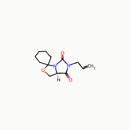 C=CCN1C(=O)[C@H]2COC3(CCCCC3)N2C1=O